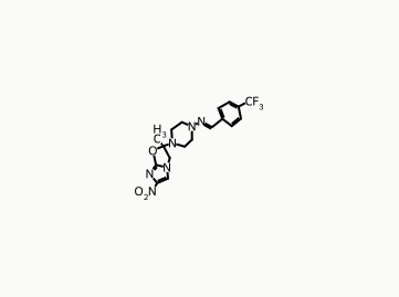 C[C@@]1(N2CCN(N=Cc3ccc(C(F)(F)F)cc3)CC2)Cn2cc([N+](=O)[O-])nc2O1